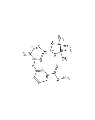 COC(=O)c1cccc(Cn2nc(B3OC(C)(C)C(C)(C)O3)ccc2=O)c1